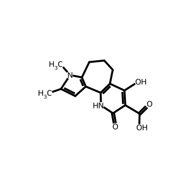 Cc1cc2c(n1C)CCCc1c-2[nH]c(=O)c(C(=O)O)c1O